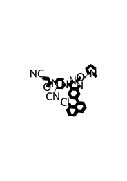 CN1CCC[C@H]1COc1nc2c(c(N3CCN(C(=O)/C=C/C#N)[C@@H](CC#N)C3)n1)CCC(c1cccc3cccc(Cl)c13)=C2